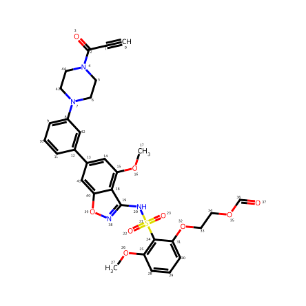 C#CC(=O)N1CCN(c2cccc(-c3cc(OC)c4c(NS(=O)(=O)c5c(OC)cccc5OCCOC=O)noc4c3)c2)CC1